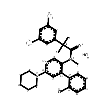 CN(C(=O)C(C)(C)c1cc(C(F)(F)F)cc(C(F)(F)F)c1)c1cnc(N2CCCCC2)cc1-c1ccccc1Cl.Cl